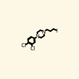 Clc1ccc(N2CCN(CCCI)CC2)cc1Cl